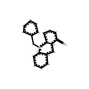 O=c1cccc2n(Cc3ccccc3)c3ccccc3cc1-2